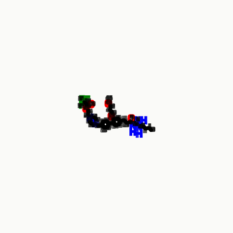 CCCCNC(=N)NC(=O)CCc1ccc(-c2ccc(CN3CCN(CCOC(=O)C(F)(F)F)CC3)cc2)c(OCCCOC)c1